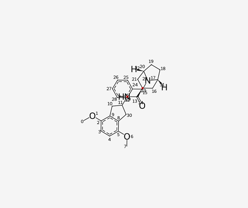 COc1ccc(OC)c2c1CC(NC(=O)[C@@H]1C[C@H]3CC[C@@H](C1)N3Cc1ccccc1)C2